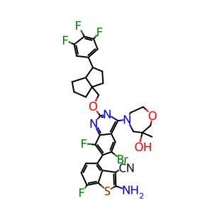 CC1(O)COCCN(c2nc(OCC34CCCC3C(c3cc(F)c(F)c(F)c3)CC4)nc3c(F)c(-c4ccc(F)c5sc(N)c(C#N)c45)c(Br)cc23)C1